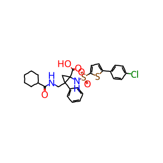 O=C(NCC1(c2ccccc2)CC1(NS(=O)(=O)c1ccc(-c2ccc(Cl)cc2)s1)C(=O)O)C1CCCCC1